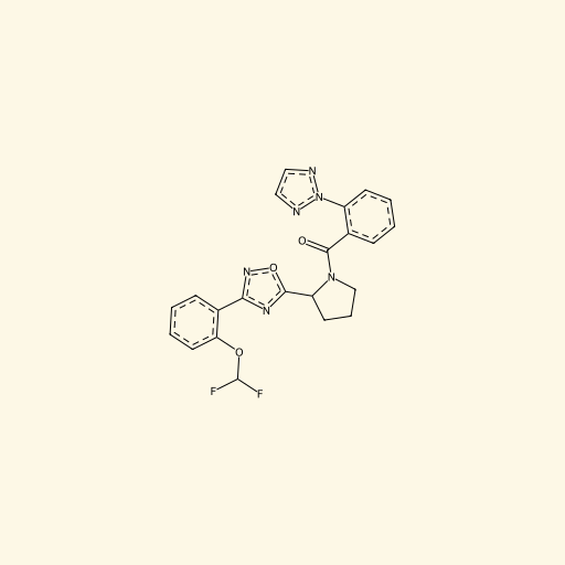 O=C(c1ccccc1-n1nccn1)N1CCCC1c1nc(-c2ccccc2OC(F)F)no1